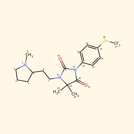 CN1CCCC1CCN1C(=O)N(c2ccc(SC(F)(F)F)cc2)C(=O)C1(C)C